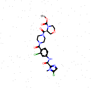 Cn1c(Br)cnc1C(=O)Nc1ccc(C(=O)N2CCN(C(=O)[C@@H]3COCCN3C(=O)OC(C)(C)C)CC2)c(Cl)c1